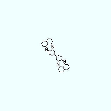 c1cc2c(cc1-c1ccc3c(c1)N=C1CCCC4=C1C(=N3)CCC4)N=C1CCCC3=C1C(=N2)CCC3